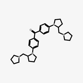 O=C(c1ccc(N2CCCC2CN2CCCC2)cc1)c1ccc(N2CCCC2CN2CCCC2)cc1